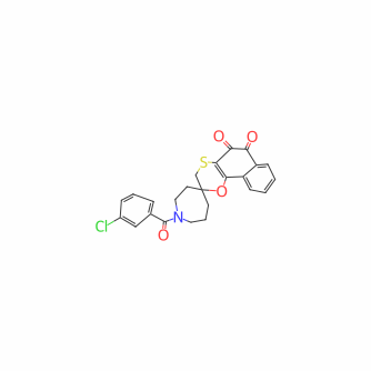 O=C1C(=O)c2ccccc2C2=C1SCC1(CCCN(C(=O)c3cccc(Cl)c3)CC1)O2